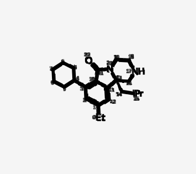 CCc1cc(C2CCCCC2)c2c(c1)[C@@]1(CC(C)C)CNCCN1C2=O